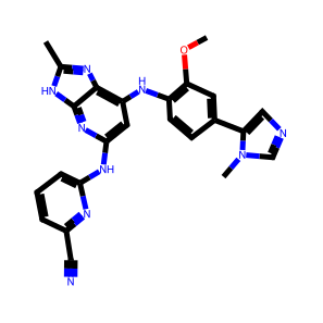 COc1cc(-c2cncn2C)ccc1Nc1cc(Nc2cccc(C#N)n2)nc2[nH]c(C)nc12